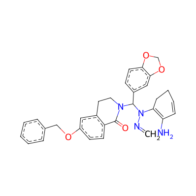 C=NN(C1=C(N)C=CCC1)C(c1ccc2c(c1)OCO2)N1CCc2cc(OCc3ccccc3)ccc2C1=O